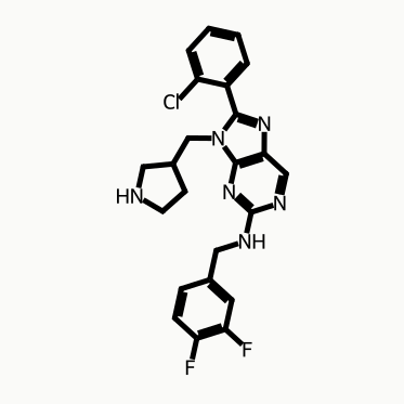 Fc1ccc(CNc2ncc3nc(-c4ccccc4Cl)n(CC4CCNC4)c3n2)cc1F